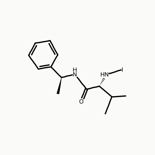 CC(C)[C@@H](NI)C(=O)N[C@@H](C)c1ccccc1